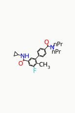 CCCN(CCC)C(=O)c1ccc(-c2cc(C(=O)NC3CC3)cc(F)c2C)cc1